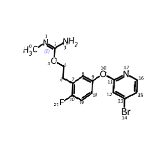 C/N=C(/N)OCCc1cc(Oc2cc(Br)ccn2)ccc1F